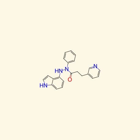 O=C(CCc1cccnc1)N(Nc1cccc2[nH]ccc12)c1ccccc1